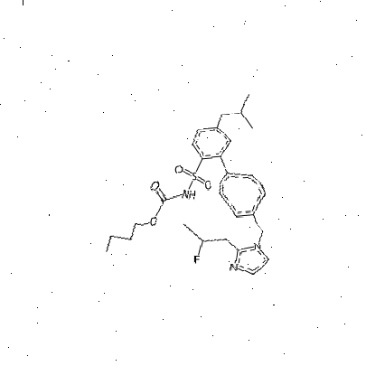 CCCCOC(=O)NS(=O)(=O)c1ccc(CC(C)C)cc1-c1ccc(Cn2ccnc2CC(C)F)cc1